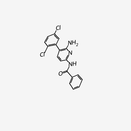 Nc1nc(NC(=O)c2ccccc2)ccc1-c1cc(Cl)ccc1Cl